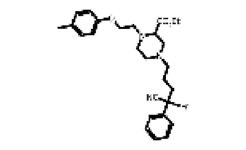 CCOC(=O)C1CN(CCCC(C#N)(c2ccccc2)C(C)C)CCN1CCOc1ccc(F)cc1